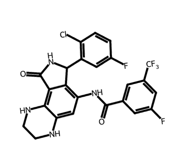 O=C(Nc1cc2c(c3c1C(c1cc(F)ccc1Cl)NC3=O)NCCN2)c1cc(F)cc(C(F)(F)F)c1